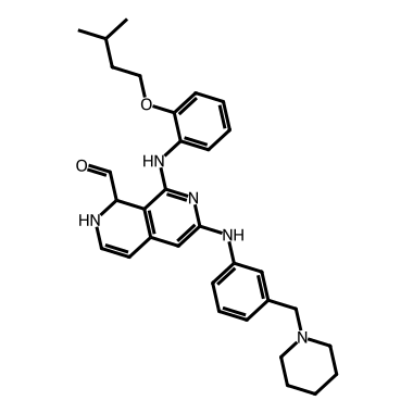 CC(C)CCOc1ccccc1Nc1nc(Nc2cccc(CN3CCCCC3)c2)cc2c1C(C=O)NC=C2